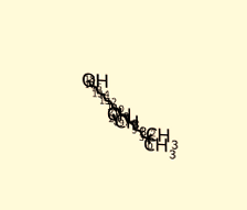 CC(C)CCCCCCCCCCCCCCCO.C[CH]C